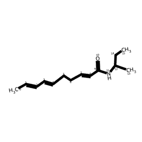 C/C=C/C=C/CC/C=C/C(=O)NC(C)CC